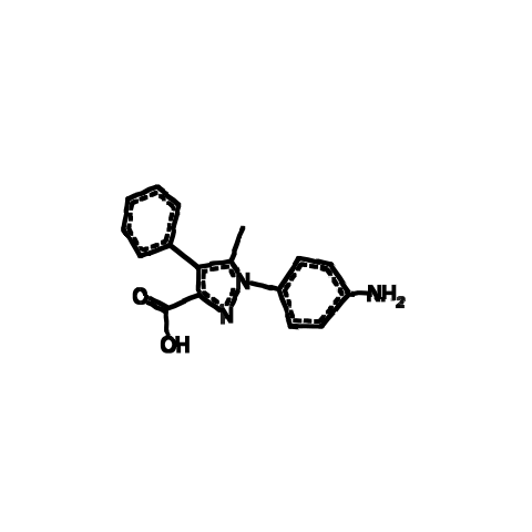 Cc1c(-c2ccccc2)c(C(=O)O)nn1-c1ccc(N)cc1